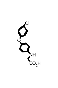 O=C(O)CNc1ccc(Oc2ccc(Cl)cc2)cc1